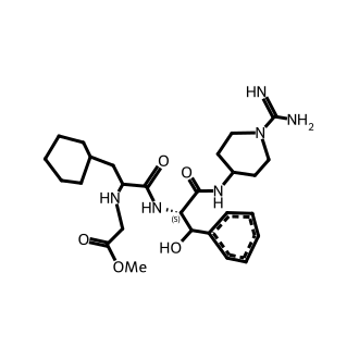 COC(=O)CNC(CC1CCCCC1)C(=O)N[C@H](C(=O)NC1CCN(C(=N)N)CC1)C(O)c1ccccc1